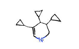 C1=C(C2CC2)C(C2CC2)C(C2CC2)C[N]1